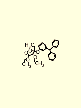 CCOC(=O)C(OCC)C([O])(CC)Oc1cccc(C(c2ccccc2)c2ccccc2)c1